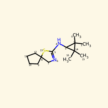 CC1(C)C(NC2=NCC3(CCCC3)S2)C1(C)C